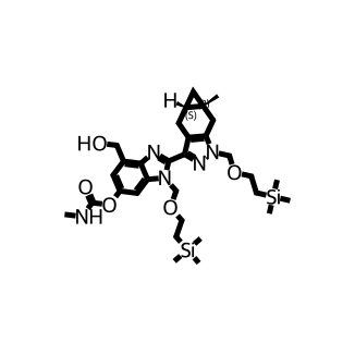 CNC(=O)Oc1cc(CO)c2nc(-c3nn(COCC[Si](C)(C)C)c4c3C[C@@H]3C[C@]3(C)C4)n(COCC[Si](C)(C)C)c2c1